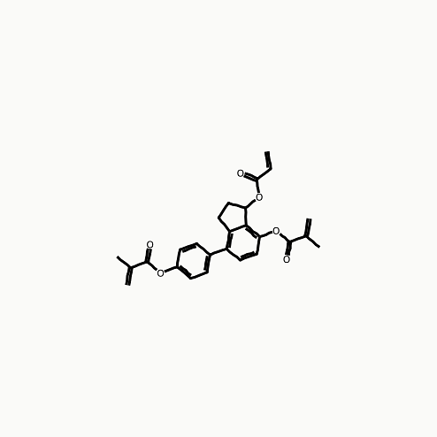 C=CC(=O)OC1CCc2c(-c3ccc(OC(=O)C(=C)C)cc3)ccc(OC(=O)C(=C)C)c21